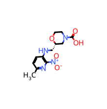 Cc1ccc(NC[C@H]2CN(C(=O)O)CCO2)c([N+](=O)[O-])n1